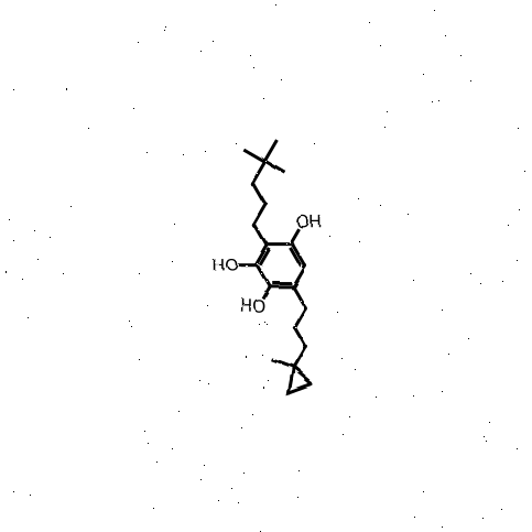 CC(C)(C)CCCc1c(O)cc(CCCC2(C)CC2)c(O)c1O